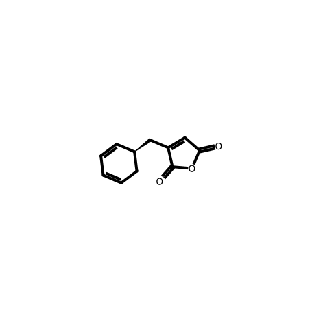 O=C1C=C(C[C@@H]2C=CC=CC2)C(=O)O1